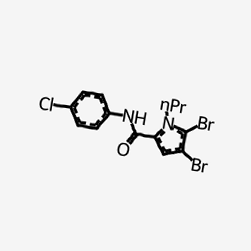 CCCn1c(C(=O)Nc2ccc(Cl)cc2)cc(Br)c1Br